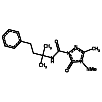 CNn1c(C)nn(C(=O)NC(C)(C)CCc2ccccc2)c1=O